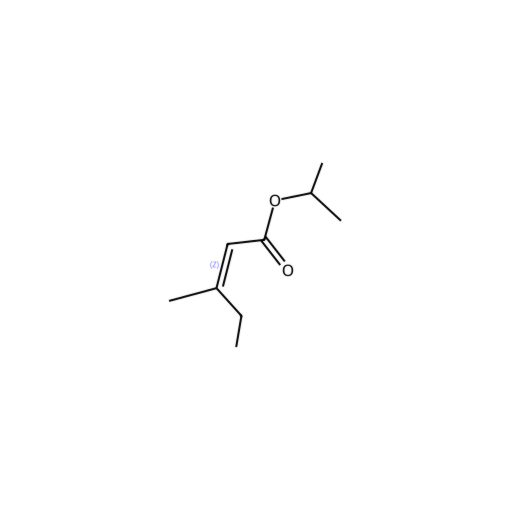 CC/C(C)=C\C(=O)OC(C)C